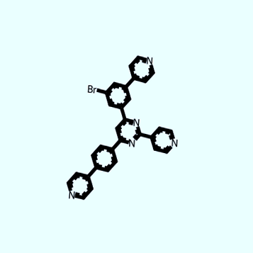 Brc1cc(-c2ccncc2)cc(-c2cc(-c3ccc(-c4ccncc4)cc3)nc(-c3ccncc3)n2)c1